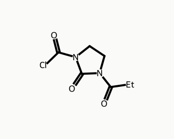 CCC(=O)N1CCN(C(=O)Cl)C1=O